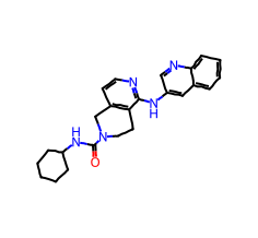 O=C(NC1CCCCC1)N1CCc2c(ccnc2Nc2cnc3ccccc3c2)C1